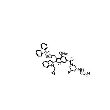 COc1cc(C(=O)N2C[C@H](F)C[C@@H](NC(=O)O)C2)cc2oc(-c3cc4ccccc4n3CC3CC3)c(CCO[Si](c3ccccc3)(c3ccccc3)C(C)(C)C)c12